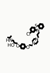 CC(C)NCC(O)COc1ccc(OCCN2CCN(CCCN3c4ccccc4Sc4ccc(Cl)cc43)CC2)cc1